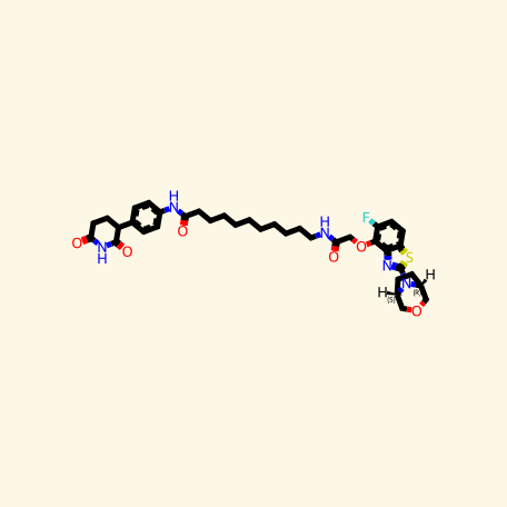 O=C(COc1c(F)ccc2sc(N3[C@@H]4CC[C@H]3COC4)nc12)NCCCCCCCCCCC(=O)Nc1ccc(C2CCC(=O)NC2=O)cc1